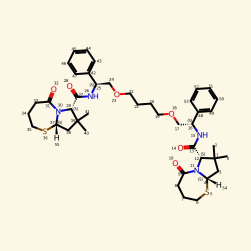 CC1(C)C[C@@H]2SCCCC(=O)N2[C@@H]1C(=O)N[C@H](COCCCCOC[C@@H](NC(=O)[C@H]1N2C(=O)CCCS[C@H]2CC1(C)C)c1ccccc1)c1ccccc1